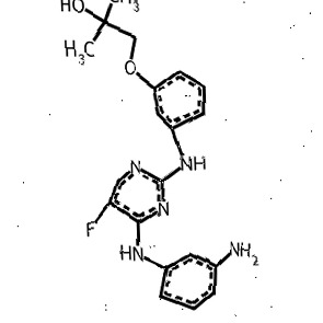 CC(C)(O)COc1cccc(Nc2ncc(F)c(Nc3cccc(N)c3)n2)c1